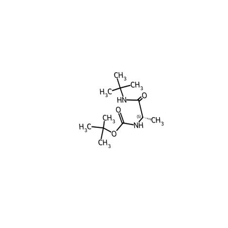 C[C@H](NC(=O)OC(C)(C)C)C(=O)NC(C)(C)C